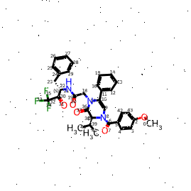 COc1ccc(C(=O)N2C=C(c3ccccc3)N(CC(=O)N[C@@H](Cc3ccccc3)C(=O)C(F)(F)F)C(=O)[C@@H]2C(C)C)cc1